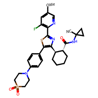 COc1cnc(-c2nc([C@@H]3CCCC[C@H]3C(=O)NC3(C#N)CC3)c(-c3ccc(N4CCS(=O)(=O)CC4)cc3)s2)c(F)c1